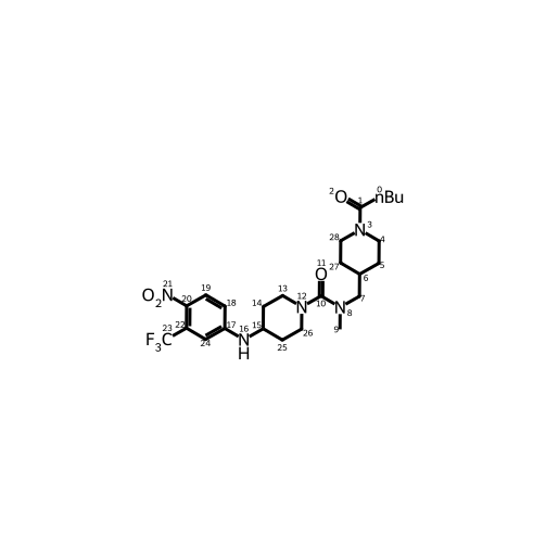 CCCCC(=O)N1CCC(CN(C)C(=O)N2CCC(Nc3ccc([N+](=O)[O-])c(C(F)(F)F)c3)CC2)CC1